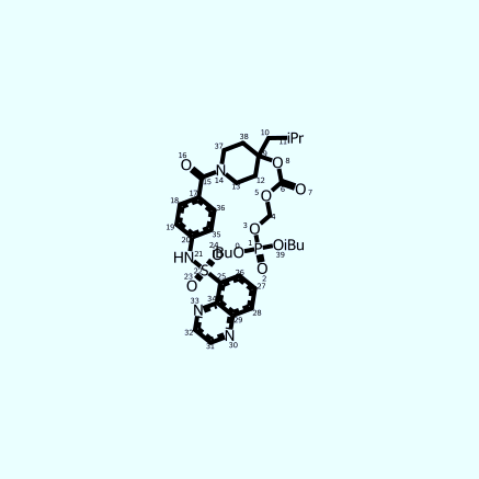 CC(C)COP(=O)(OCOC(=O)OC1(CC(C)C)CCN(C(=O)c2ccc(NS(=O)(=O)c3cccc4nccnc34)cc2)CC1)OCC(C)C